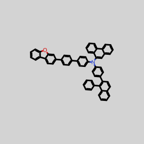 c1ccc(-c2c(-c3ccc(N(c4ccc(-c5ccc(-c6ccc7c(c6)oc6ccccc67)cc5)cc4)c4cc5ccccc5c5ccccc45)cc3)ccc3ccccc23)cc1